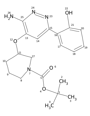 CC(C)(C)OC(=O)N1CCCC(Oc2cc(-c3ccccc3O)nnc2N)C1